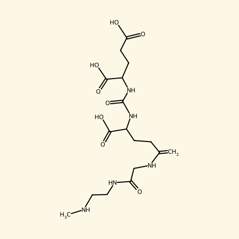 C=C(CCC(NC(=O)NC(CCC(=O)O)C(=O)O)C(=O)O)NCC(=O)NCCNC